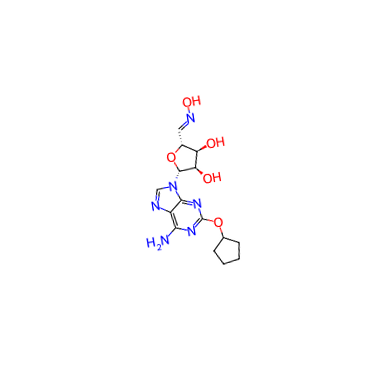 Nc1nc(OC2CCCC2)nc2c1ncn2[C@@H]1O[C@H](C=NO)[C@@H](O)[C@H]1O